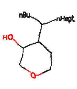 CCCCCCCC(CCCC)C1CCOCC1O